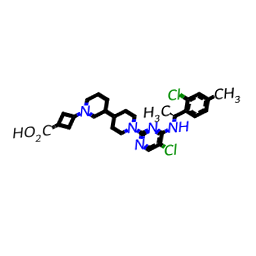 Cc1ccc([C@@H](C)Nc2nc(N3CCC(C4CCCN(C5CC(C(=O)O)C5)C4)CC3)ncc2Cl)c(Cl)c1